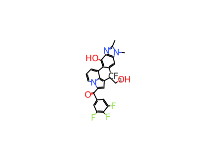 Cc1nc2c(O)c(-c3cccn4c(C(=O)c5cc(F)c(F)c(F)c5)cc(CCO)c34)c(C(F)(F)F)cc2n1C